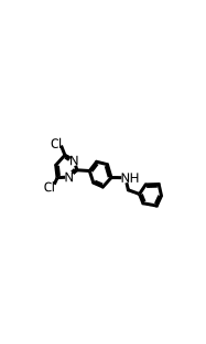 Clc1cc(Cl)nc(-c2ccc(NCc3ccccc3)cc2)n1